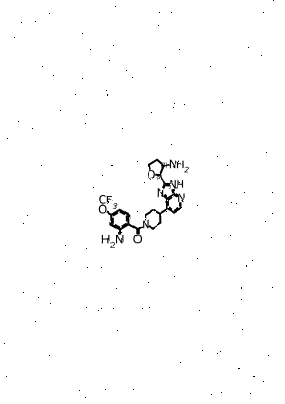 Nc1cc(OC(F)(F)F)ccc1C(=O)N1CCC(c2ccnc3[nH]c([C@H]4OCC[C@H]4N)nc23)CC1